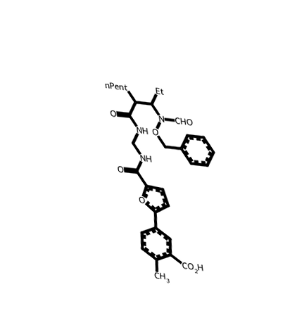 CCCCCC(C(=O)NCNC(=O)c1ccc(-c2ccc(C)c(C(=O)O)c2)o1)C(CC)N(C=O)OCc1ccccc1